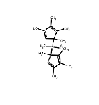 CC1=CC(C)([Si](C)(C)C2(C)C=C(C)C(C)=C2C)C(C)=C1C